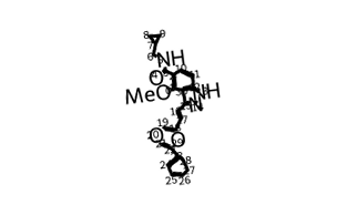 COc1c(C(=O)NCC2CC2)ccc2[nH]nc(C=CC3=COC=C(C4=CC=CCC4)O3)c12